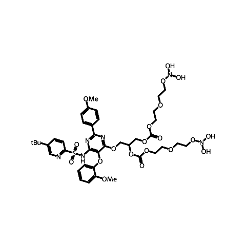 COc1ccc(-c2nc(NS(=O)(=O)c3ccc(C(C)(C)C)cn3)c(Oc3ccccc3OC)c(OCC(COC(=O)OCCOCCON(O)O)OC(=O)OCCOCCON(O)O)n2)cc1